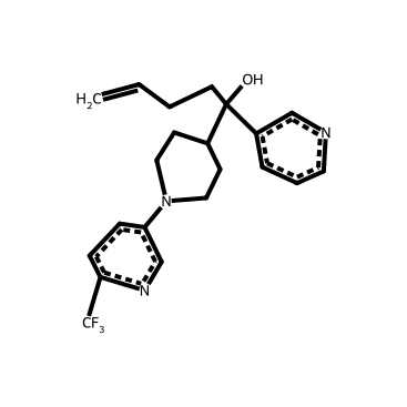 C=CCCC(O)(c1cccnc1)C1CCN(c2ccc(C(F)(F)F)nc2)CC1